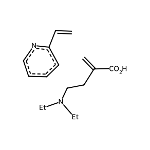 C=C(CCN(CC)CC)C(=O)O.C=Cc1ccccn1